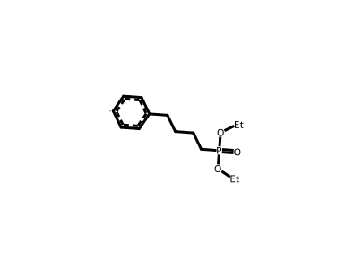 CCOP(=O)(CCCCc1cc[c]cc1)OCC